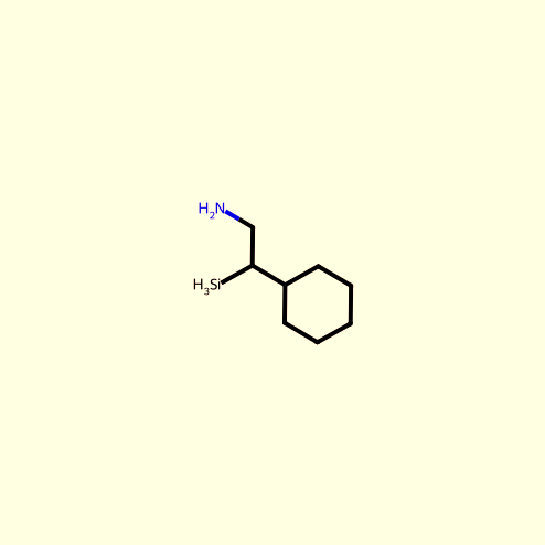 NCC([SiH3])C1CCCCC1